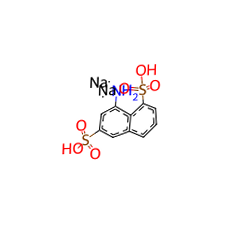 Nc1cc(S(=O)(=O)O)cc2cccc(S(=O)(=O)O)c12.[Na].[Na]